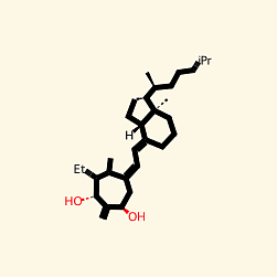 C=C1[C@H](O)C/C(=C/C=C2\CCC[C@]3(C)[C@@H]([C@@H](C)CCCC(C)C)CC[C@@H]23)C(C)C(CC)[C@H]1O